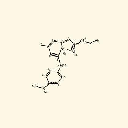 CCOc1cc2nc(C)cc(Nc3ccc(SF)cc3)n2n1